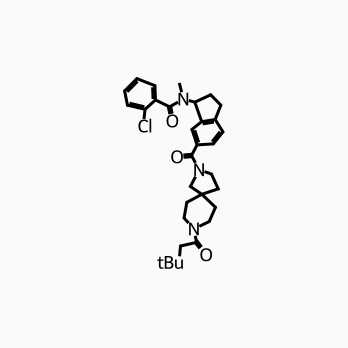 CN(C(=O)c1ccccc1Cl)C1CCc2ccc(C(=O)N3CCC4(CCN(C(=O)CC(C)(C)C)CC4)C3)cc21